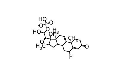 CC1CC2C3C[C@H](F)C4=CC(=O)CC[C@]4(C)C3=CC[C@]2(C)[C@@]1(O)C(=O)C(O)OP([O])(=O)O